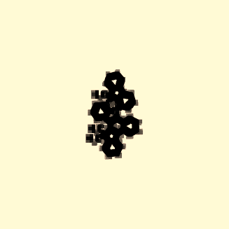 CC1(C)c2ccccc2-c2cccc(-n3c4ccccc4c4c5c(c6ccccc6c43)-c3ccccc3C5(C)C)c21